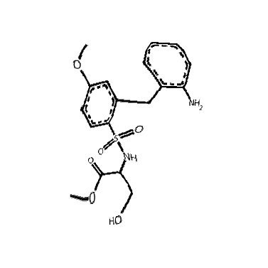 COC(=O)C(CO)NS(=O)(=O)c1ccc(OC)cc1Cc1ccccc1N